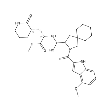 COC(=O)[C@H](C[C@@H]1CCCNC1=O)NC(O)C1CC2(CCCCC2)CN1C(=O)c1cc2c(OC)cccc2[nH]1